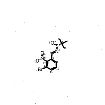 CC(C)(C)[S+]([O-])N=Cc1cccc(Br)c1[N+](=O)[O-]